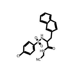 N#CCNC(=O)C(Cc1ccc2ccccc2c1)NS(=O)(=O)c1ccc(Cl)cc1